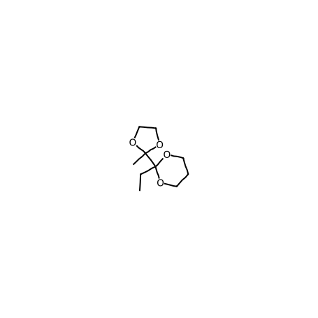 CCC1(C2(C)OCCO2)OCCCO1